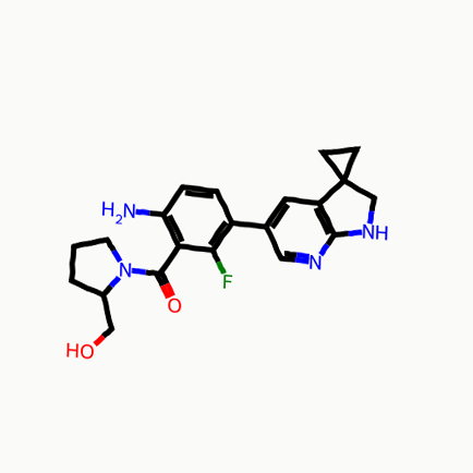 Nc1ccc(-c2cnc3c(c2)C2(CC2)CN3)c(F)c1C(=O)N1CCCC1CO